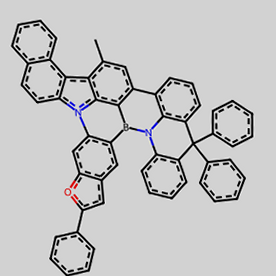 Cc1cc2c3c4c1c1c5ccccc5ccc1n4-c1cc4oc(-c5ccccc5)cc4cc1B3N1c3ccccc3C(c3ccccc3)(c3ccccc3)c3cccc-2c31